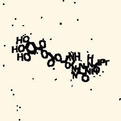 CC(C)C(=O)Nc1nc2c(ncn2C2CNCC(COC(=O)COC(=O)c3cc(O)c(O)c(O)c3)O2)c(=O)[nH]1